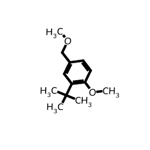 COCc1ccc(OC)c(C(C)(C)C)c1